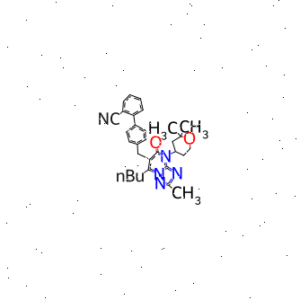 CCCCc1c(Cc2ccc(-c3ccccc3C#N)cc2)c(=O)n(C2CCOC(C)(C)C2)c2nc(C)nn12